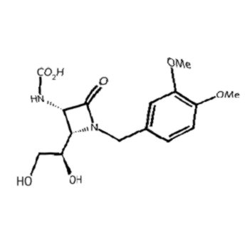 COc1ccc(CN2C(=O)[C@@H](NC(=O)O)[C@H]2[C@@H](O)CO)cc1OC